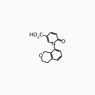 O=C(O)c1ccc(=O)n(-c2cccc3c2COCC3)c1